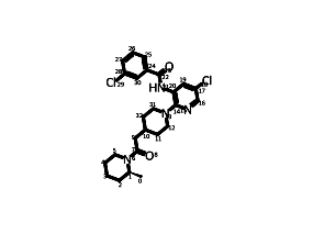 C[C@H]1CCCCN1C(=O)CC1CCN(c2ncc(Cl)cc2NC(=O)c2cccc(Cl)c2)CC1